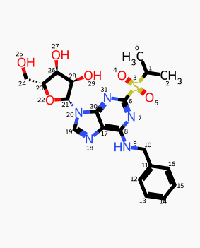 CC(C)S(=O)(=O)c1nc(NCc2ccccc2)c2ncn([C@@H]3O[C@H](CO)[C@@H](O)[C@H]3O)c2n1